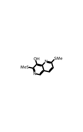 CSc1ccc2cnc(SC)c(O)c2n1